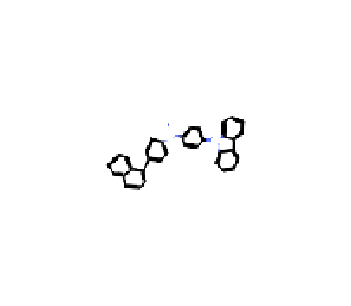 CN(c1ccc(-c2cccc3ccccc23)cc1)c1ccc(-n2c3ccccc3c3ccccc32)cc1